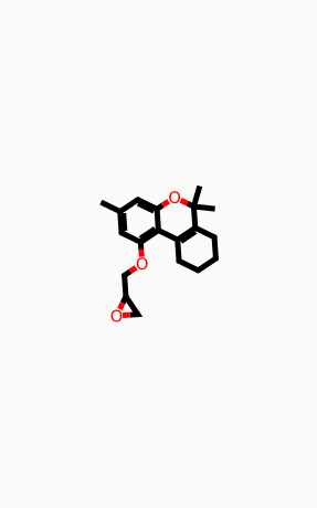 Cc1cc(OCC2CO2)c2c(c1)OC(C)(C)C1=C2CCCC1